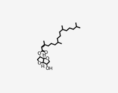 CC(=CC(=O)O[C@H]1CO[C@H]2[C@@H]1OC[C@H]2O)CCCC(C)CCCC(C)CCCC(C)C